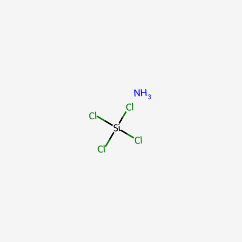 Cl[Si](Cl)(Cl)Cl.N